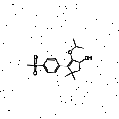 CC(C)OC1=C(c2ccc(S(C)(=O)=O)cc2)C(C)(C)CC1O